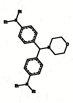 CCN(CC)c1ccc(C(c2ccc(N(CC)CC)cc2)N2CCOCC2)cc1